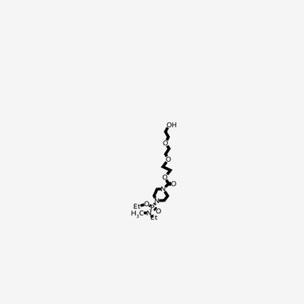 CCOP(=O)(N(C)CC)N1CCN(C(=O)OCCOCCOCCO)CC1